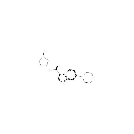 N#CN1CC[C@@H](NC(=O)c2cnc3cc(N4CCOCC4)ccn23)C1